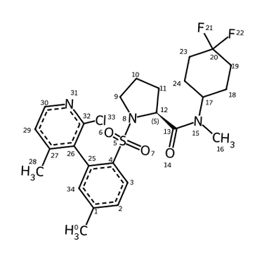 Cc1ccc(S(=O)(=O)N2CCC[C@H]2C(=O)N(C)C2CCC(F)(F)CC2)c(-c2c(C)ccnc2Cl)c1